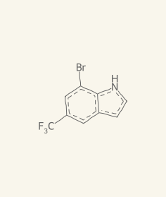 FC(F)(F)c1cc(Br)c2[nH]ccc2c1